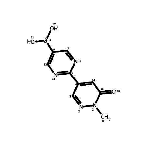 Cn1ncc(-c2ncc(B(O)O)cn2)cc1=O